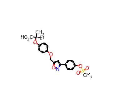 CC[C@@](C)(Oc1ccc(OCc2cc(-c3ccc(OS(C)(=O)=O)cc3)no2)cc1)C(=O)O